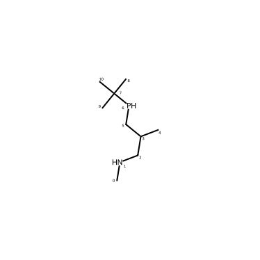 CNCC(C)CPC(C)(C)C